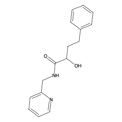 O=C(NCc1ccccn1)C(O)CCc1ccccc1